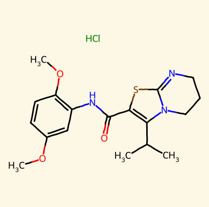 COc1ccc(OC)c(NC(=O)C2=C(C(C)C)N3CCCN=C3S2)c1.Cl